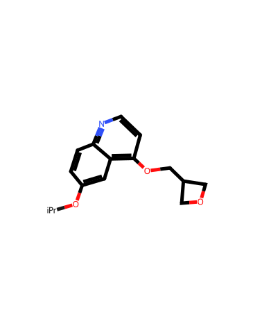 CC(C)Oc1ccc2nccc(OCC3COC3)c2c1